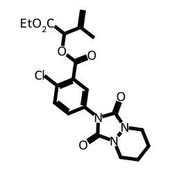 C=C(C)C(OC(=O)c1cc(-n2c(=O)n3n(c2=O)CCCC3)ccc1Cl)C(=O)OCC